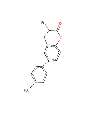 CC(C)C1Cc2cc(-c3ccc(C(F)(F)F)cc3)ccc2OC1=O